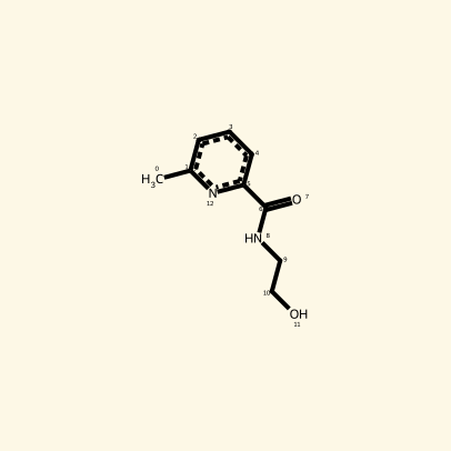 Cc1cccc(C(=O)NCCO)n1